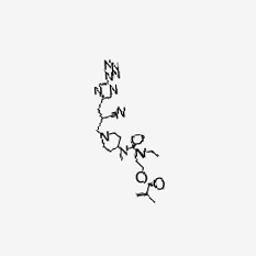 C=C(C)C(=O)OCCN(CC)C(=O)N(C)C1CCN(CC(C#N)Cc2cnc(-n3cnnn3)cn2)CC1